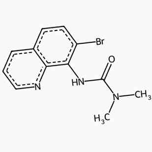 CN(C)C(=O)Nc1c(Br)ccc2cccnc12